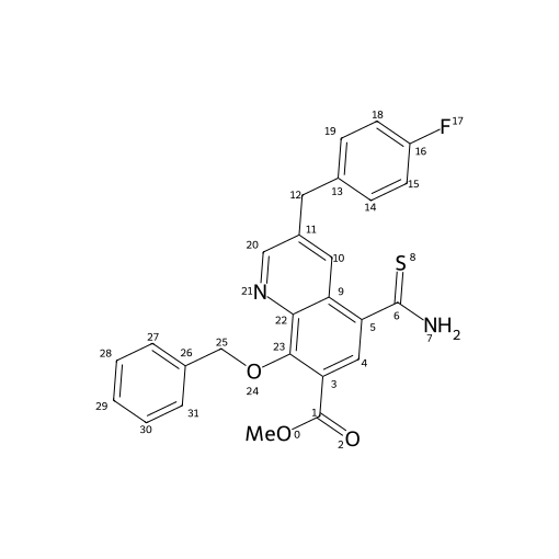 COC(=O)c1cc(C(N)=S)c2cc(Cc3ccc(F)cc3)cnc2c1OCc1ccccc1